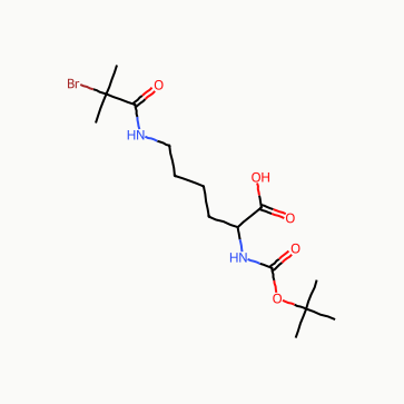 CC(C)(C)OC(=O)NC(CCCCNC(=O)C(C)(C)Br)C(=O)O